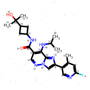 Cc1cc(F)ncc1-c1cn2ncc(C(=O)NC3CC(C(C)(C)O)C3)c(NC(C)C)c2n1